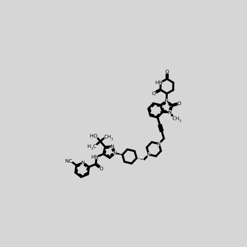 Cn1c(=O)n(C2CCC(=O)NC2=O)c2cccc(C#CCN3CCN(C[C@H]4CC[C@H](n5cc(NC(=O)c6cccc(C#N)n6)c(C(C)(C)O)n5)CC4)CC3)c21